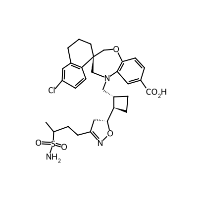 CC(CCC1=NO[C@@H]([C@@H]2CC[C@H]2CN2C[C@@]3(CCCc4cc(Cl)ccc43)COc3ccc(C(=O)O)cc32)C1)S(N)(=O)=O